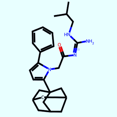 CC(C)CN/C(N)=N\C(=O)Cn1c(-c2ccccc2)ccc1C12CC3CC(CC(C3)C1)C2